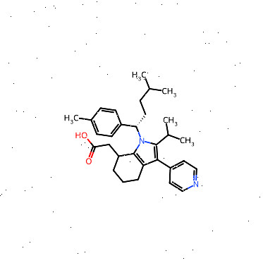 Cc1ccc([C@H](CCC(C)C)n2c(C(C)C)c(-c3ccncc3)c3c2C(CC(=O)O)CCC3)cc1